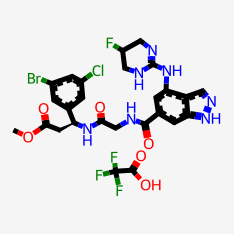 COC(=O)C[C@H](NC(=O)CNC(=O)c1cc(NC2=NCC(F)CN2)c2cn[nH]c2c1)c1cc(Cl)cc(Br)c1.O=C(O)C(F)(F)F